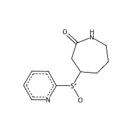 O=C1CC([S+]([O-])c2ccccn2)CCCN1